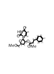 COC[C@@H]1C[C@H](OC(CCc2ccccc2)OC)[C@H](n2ccc(=O)[nH]c2=O)O1